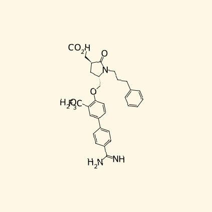 N=C(N)c1ccc(-c2ccc(OC[C@@H]3C[C@@H](CC(=O)O)C(=O)N3CCCc3ccccc3)c(C(F)(F)F)c2)cc1.O